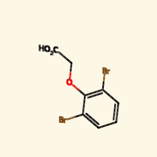 O=C(O)COc1c(Br)cccc1Br